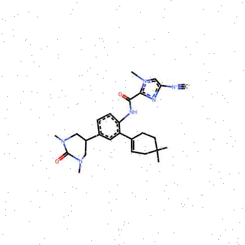 [C-]#[N+]c1cn(C)c(C(=O)Nc2ccc(C3CN(C)C(=O)N(C)C3)cc2C2=CCC(C)(C)CC2)n1